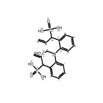 C=CC(c1ccccc1N(CC(=O)O)c1ccccc1C(C=C)P(=O)(O)O)P(=O)(O)O